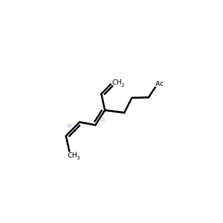 C=C/C(=C\C=C/C)CCCC(C)=O